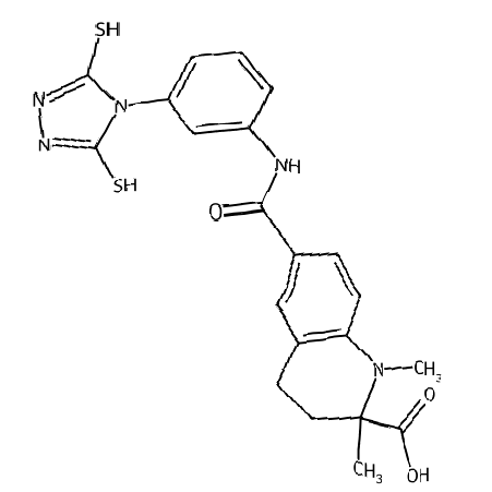 CN1c2ccc(C(=O)Nc3cccc(-n4c(S)nnc4S)c3)cc2CCC1(C)C(=O)O